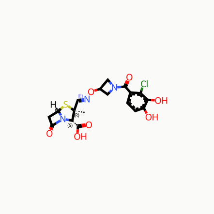 C[C@@]1(/C=N/OC2CN(C(=O)c3ccc(O)c(O)c3Cl)C2)S[C@@H]2CC(=O)N2[C@H]1C(=O)O